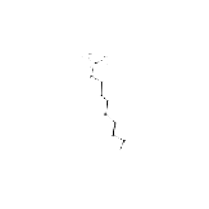 ClCCCCCCCC[SiH](Cl)Cl